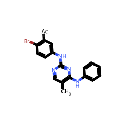 CC(=O)c1cc(Nc2ncc(C)c(Nc3ccccc3)n2)ccc1Br